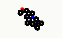 c1ccc(C2(c3ccccc3)c3ccccc3-c3ccc(N(c4ccc5ccccc5c4)c4cccc5c6ccc7oc8ccccc8c7c6c6ccccc6c45)cc32)cc1